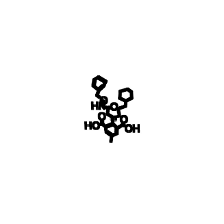 Cc1cc(C(=O)O)c([C@H](CCCC2CCCCC2)CC(=O)NOCc2ccccc2)c(C(=O)O)c1